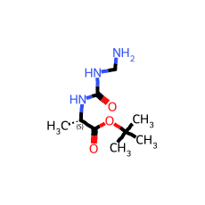 C[C@H](NC(=O)NCN)C(=O)OC(C)(C)C